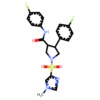 Cn1cnc(S(=O)(=O)N2CC(C(=O)Nc3ccc(F)cc3)C(c3ccc(F)cc3)C2)c1